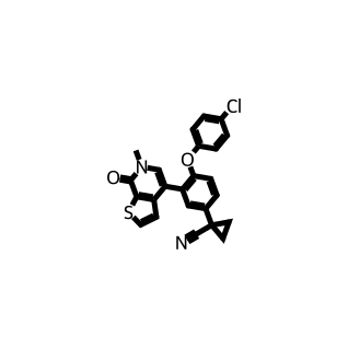 Cn1cc(-c2cc(C3(C#N)CC3)ccc2Oc2ccc(Cl)cc2)c2ccsc2c1=O